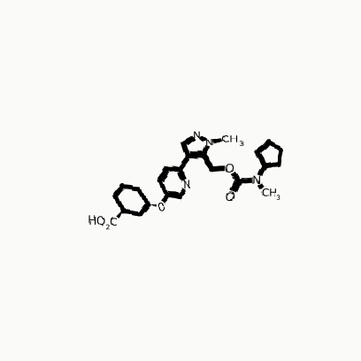 CN(C(=O)OCc1c(-c2ccc(O[C@H]3CCC[C@H](C(=O)O)C3)cn2)cnn1C)C1CCCC1